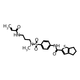 C=CC(=O)NCCCN(C)S(=O)(=O)c1ccc(NC(=O)c2cc3c(s2)CCC3)cc1